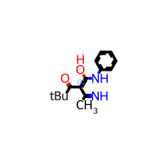 CC(=N)/C(C(=O)C(C)(C)C)=C(/O)Nc1ccccc1